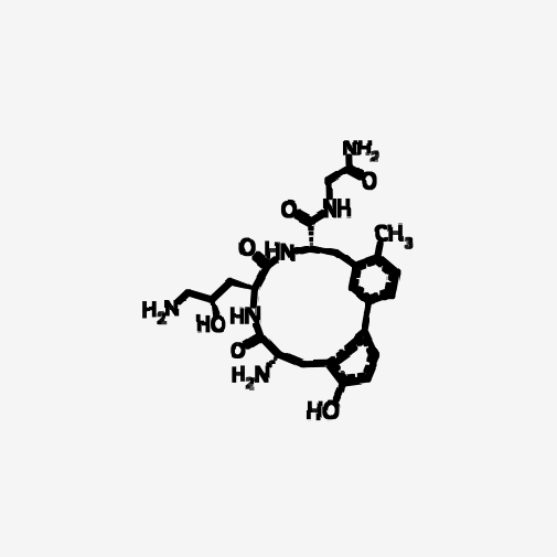 Cc1ccc2cc1C[C@@H](C(=O)NCC(N)=O)NC(=O)[C@H](C[C@@H](O)CN)NC(=O)[C@@H](N)Cc1cc-2ccc1O